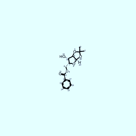 CC1(C)OC2[C@H](O[C@H](COC(=O)c3ccccc3)[C@@H]2O)O1